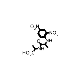 CC(NC(=O)C(C)Nc1ccc([N+](=O)[O-])cc1[N+](=O)[O-])C(=O)O